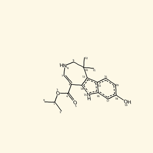 CC(C)OC(=O)C1=CNCC(C)(C)c2c1[nH]c1cc(O)ccc21